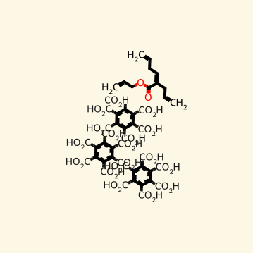 C=CCC=C(CC=C)C(=O)OCC=C.O=C(O)c1c(C(=O)O)c(C(=O)O)c(C(=O)O)c(C(=O)O)c1C(=O)O.O=C(O)c1c(C(=O)O)c(C(=O)O)c(C(=O)O)c(C(=O)O)c1C(=O)O.O=C(O)c1c(C(=O)O)c(C(=O)O)c(C(=O)O)c(C(=O)O)c1C(=O)O